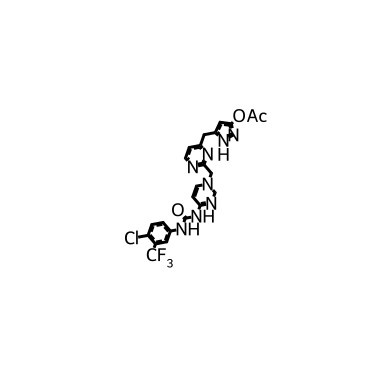 CC(=O)Oc1cc(Cc2ccnc(CN3C=CC(NC(=O)Nc4ccc(Cl)c(C(F)(F)F)c4)=NC3)n2)[nH]n1